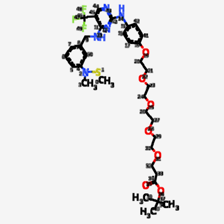 CSN(C)c1cccc(CNc2nc(Nc3ccc(OCCOCCOCCOCCOCCC(=O)OC(C)(C)C)cc3)ncc2C(F)(F)F)c1